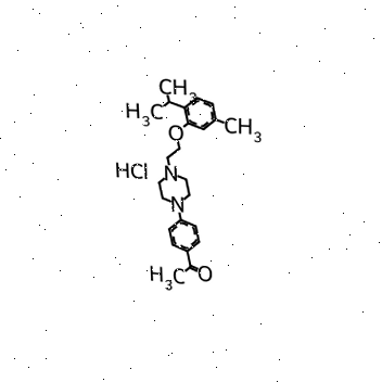 CC(=O)c1ccc(N2CCN(CCOc3cc(C)ccc3C(C)C)CC2)cc1.Cl